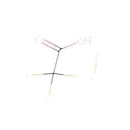 FF.O=C(O)C(F)(F)F